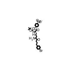 CC(C)(C)OC(=O)N[C@@H](CCCC(N)C(=O)CCCc1ccc(Br)cc1)C(=O)Oc1ccc([N+](=O)[O-])cc1